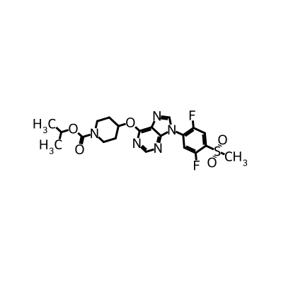 CC(C)OC(=O)N1CCC(Oc2ncnc3c2ncn3-c2cc(F)c(S(C)(=O)=O)cc2F)CC1